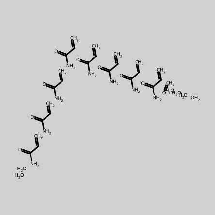 C=CC(N)=O.C=CC(N)=O.C=CC(N)=O.C=CC(N)=O.C=CC(N)=O.C=CC(N)=O.C=CC(N)=O.C=CC(N)=O.C=O.O.O.O.O.O.O